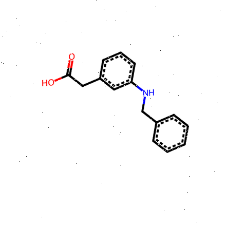 O=C(O)Cc1cccc(NCc2ccccc2)c1